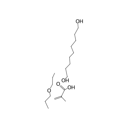 C=C(C)C(=O)O.CCCOCCC.OCCCCCCCCCO